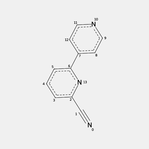 N#Cc1cccc(-c2ccncc2)n1